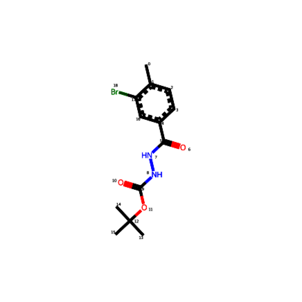 Cc1ccc(C(=O)NNC(=O)OC(C)(C)C)cc1Br